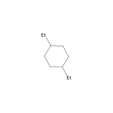 CC[C]1CCC(CC)CC1